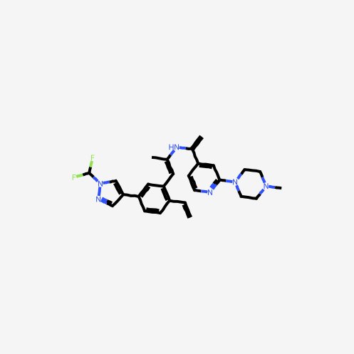 C=Cc1ccc(-c2cnn(C(F)F)c2)cc1/C=C(\C)NC(=C)c1ccnc(N2CCN(C)CC2)c1